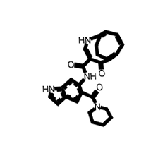 O=C(Nc1cc2[nH]ccc2cc1C(=O)N1CCCCC1)/C1=C/N/C2=C/C=C\C=C(/CC2)C1=O